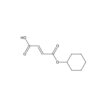 O=C(O)/C=C/C(=O)OC1CCCCC1